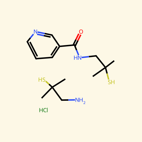 CC(C)(S)CN.CC(C)(S)CNC(=O)c1cccnc1.Cl